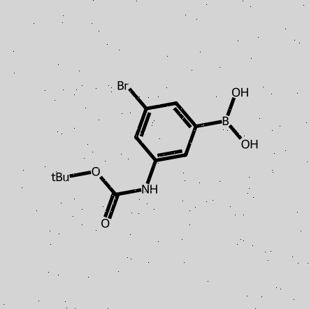 CC(C)(C)OC(=O)Nc1cc(Br)cc(B(O)O)c1